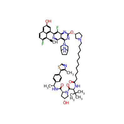 C#Cc1c(F)ccc2cc(O)cc(-c3ncc4c(N5CC6CCC(C5)N6)nc(O[C@@H]5CCN(CCCCCCCCCCCC(=O)N[C@H](C(=O)N6C[C@H](O)C[C@H]6C(=O)N[C@@H](C)c6ccc(-c7scnc7C)cc6)C(C)(C)C)C5)nc4c3F)c12